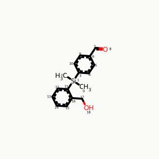 C[Si](C)(c1ccc(C=O)cc1)c1ccccc1CO